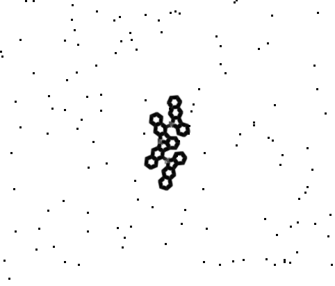 c1ccc2cc3c(cc2c1)c1ccccc1n3-c1c2ccccc2cc2c1c1cccc3c4c(-n5c6ccccc6c6cc7ccccc7cc65)c5ccccc5cc4n2c13